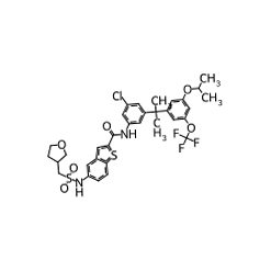 CC(C)Oc1cc(OC(F)(F)F)cc(C(C)(C)c2cc(Cl)cc(NC(=O)c3cc4cc(NS(=O)(=O)CC5CCOC5)ccc4s3)c2)c1